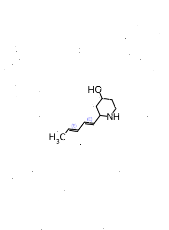 C/C=C/C=C/C1CC(O)CCN1